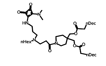 CCCCCCCCCCCC(=O)OCC1(COC(=O)CCCCCCCCCCC)CCN(C(=O)CCN(CCCCCC)CCCNc2c(N(C)C)c(=O)c2=O)CC1